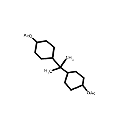 CC(=O)OC1CCC(C(C)(C)C2CCC(OC(C)=O)CC2)CC1